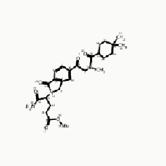 CN(CC(=O)c1ccc2c(c1)CN(C(CCC(=O)OC(C)(C)C)C(N)=O)C2=O)C(=O)C1CCC(C)(C)CC1